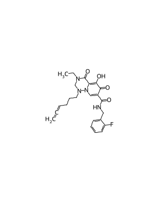 C=C=CCCCN1CN(CC)C(=O)c2c(O)c(=O)c(C(=O)NCc3ccccc3F)cn21